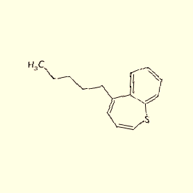 CCCCCC1=CC=CSc2ccccc21